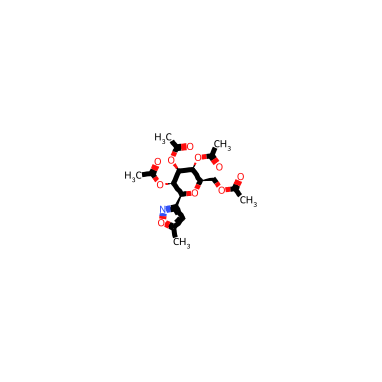 CC(=O)OC[C@H]1O[C@@H](c2cc(C)on2)[C@H](OC(C)=O)[C@@H](OC(C)=O)[C@@H]1OC(C)=O